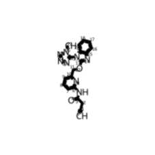 C#CCC(=O)Nc1cccc(COc2nc3ccccc3n2-c2nnnn2C)n1